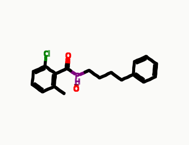 Cc1cccc(Cl)c1C(=O)[PH](=O)CCCCc1ccccc1